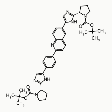 CC(C)(C)OC(=O)N1CCC[C@H]1c1ncc(-c2ccc(-c3ccc4cc(-c5cnc([C@@H]6CCCN6C(=O)OC(C)(C)C)[nH]5)ccc4n3)cc2)[nH]1